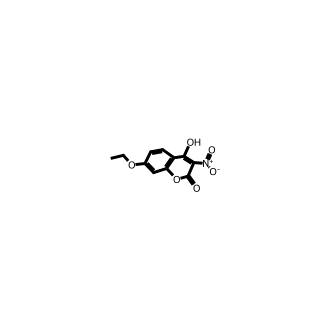 CCOc1ccc2c(O)c([N+](=O)[O-])c(=O)oc2c1